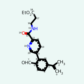 C=C(C)c1ccc(C=O)c(-c2ccc(C(=O)NCCC(=O)OCC)nc2)c1